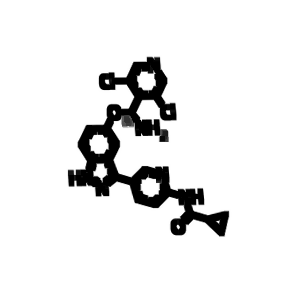 N[C@@H](Oc1ccc2[nH]nc(-c3ccc(NC(=O)C4CC4)nc3)c2c1)c1c(Cl)cncc1Cl